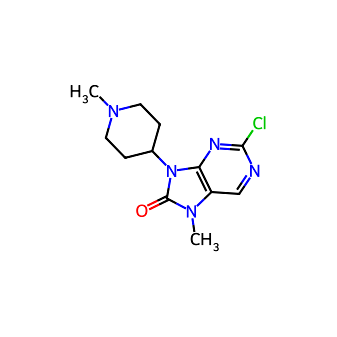 CN1CCC(n2c(=O)n(C)c3cnc(Cl)nc32)CC1